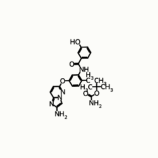 CC(C)(C)OC(N)=O.Cc1ccc(Oc2ccc3nc(N)cn3n2)cc1NC(=O)c1cccc(O)c1